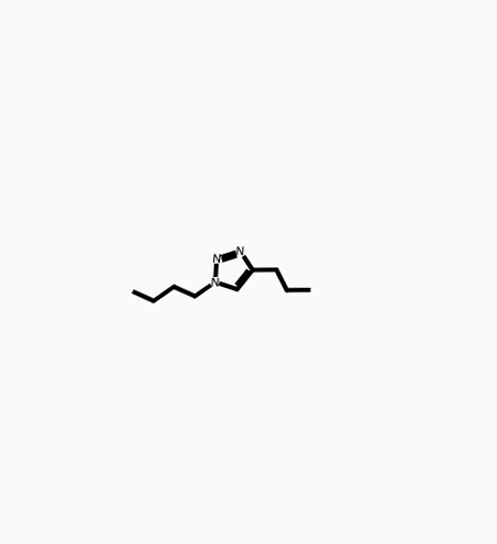 CCCCn1cc(CCC)nn1